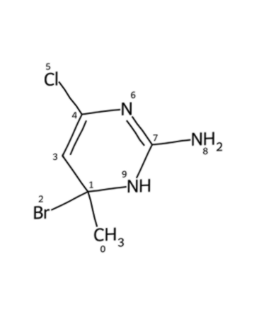 CC1(Br)C=C(Cl)N=C(N)N1